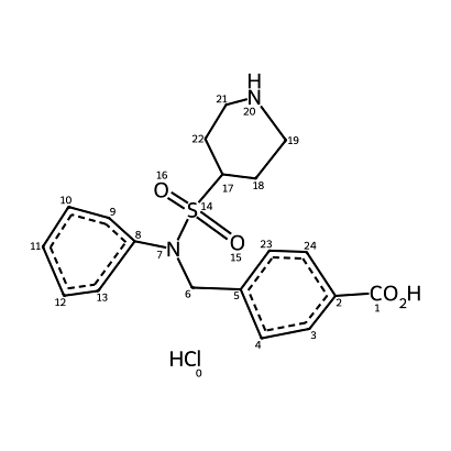 Cl.O=C(O)c1ccc(CN(c2ccccc2)S(=O)(=O)C2CCNCC2)cc1